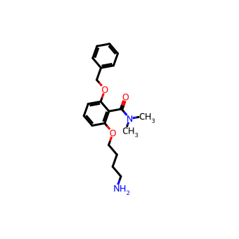 CN(C)C(=O)c1c(OCCCCN)cccc1OCc1ccccc1